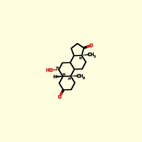 C[C@]12CCC3C(C[C@@H](O)[C@H]4CC(=O)CC[C@]34C)C1CCC2=O